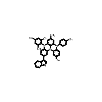 Cc1cc2c3c(c1)N(c1c(C)cc(C(C)(C)C)cc1C)c1ccc(-c4csc5ccccc45)cc1B3c1cc(C(C)(C)C)ccc1N2c1ccc(C(C)(C)C)cc1